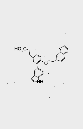 O=C(O)CCc1ccc(OCCc2ccc3ccccc3c2)c(-c2ccc3[nH]ccc3c2)c1